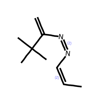 C=C(/N=N\C=C/C)C(C)(C)C